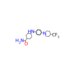 NC(=O)C1CCC(Nc2ccc(N3CCC(C(F)(F)F)CC3)cc2)CC1